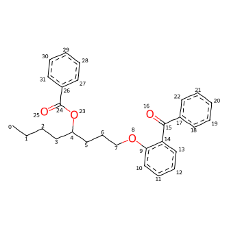 CCCCC(CCCOc1ccccc1C(=O)c1ccccc1)OC(=O)c1ccccc1